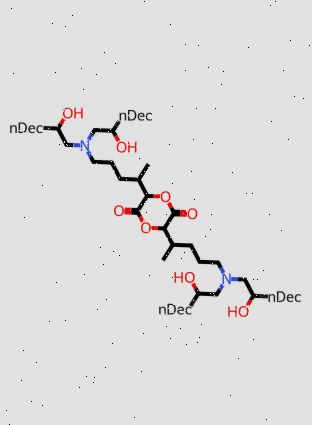 CCCCCCCCCCC(O)CN(CCCC(C)C1OC(=O)C(C(C)CCCN(CC(O)CCCCCCCCCC)CC(O)CCCCCCCCCC)OC1=O)CC(O)CCCCCCCCCC